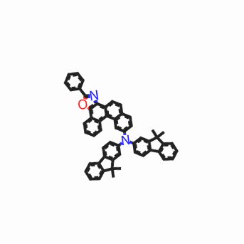 CC1(C)c2ccccc2-c2ccc(N(c3ccc4c(c3)C(C)(C)c3ccccc3-4)c3ccc4ccc5c6nc(-c7ccccc7)oc6c6ccccc6c5c4c3)cc21